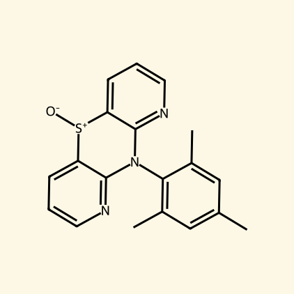 Cc1cc(C)c(N2c3ncccc3[S+]([O-])c3cccnc32)c(C)c1